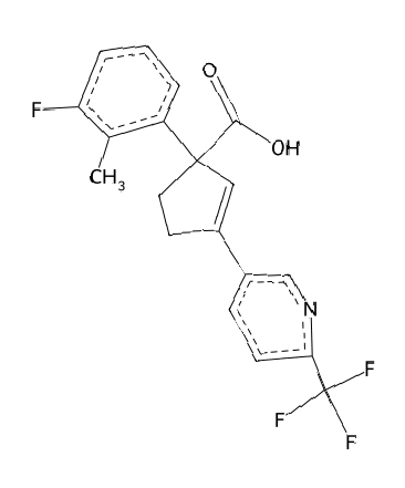 Cc1c(F)cccc1C1(C(=O)O)C=C(c2ccc(C(F)(F)F)nc2)CC1